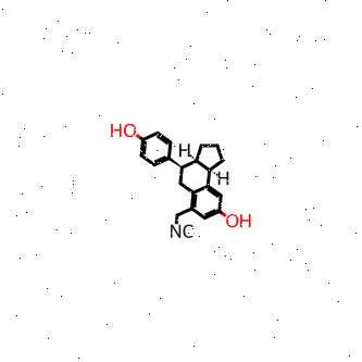 [C-]#[N+]Cc1cc(O)cc2c1C[C@@H](c1ccc(O)cc1)[C@H]1CCC[C@@H]21